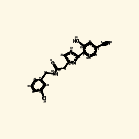 N#Cc1cnc(-c2nc(CC(=O)NCc3cccc(Cl)c3)cs2)c(O)c1